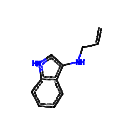 C=CCNc1c[nH]c2ccccc12